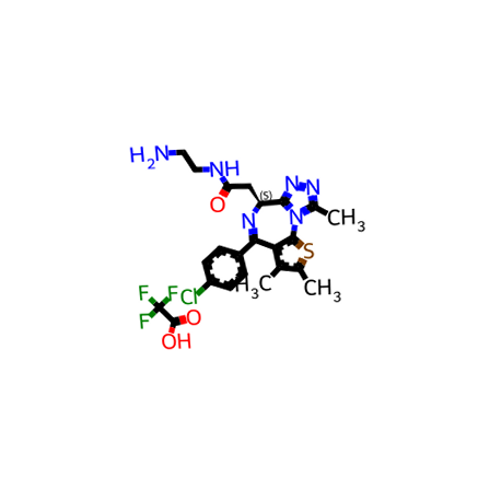 Cc1sc2c(c1C)C(c1ccc(Cl)cc1)=N[C@@H](CC(=O)NCCN)c1nnc(C)n1-2.O=C(O)C(F)(F)F